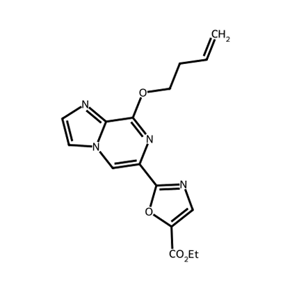 C=CCCOc1nc(-c2ncc(C(=O)OCC)o2)cn2ccnc12